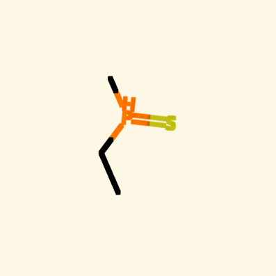 CC[PH](C)=S